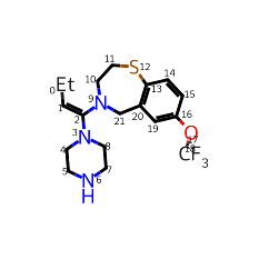 CC/C=C(/N1CCNCC1)N1CCSc2ccc(OC(F)(F)F)cc2C1